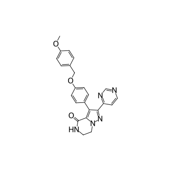 COc1ccc(COc2ccc(-c3c(-c4ccncn4)nn4c3C(=O)NCC4)cc2)cc1